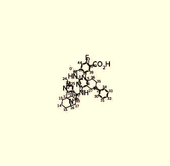 C[C@@H](Nc1nc2c(c(N[C@@H](CN3C4CCCC3CCC4)c3cnn(C)c3)n1)C[C@H](c1ccccc1)CC2)c1ccc(C(=O)O)c(F)c1